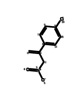 C=C(C[N+](=O)[O-])c1ccc(Cl)cc1